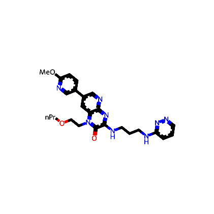 CCCOCCn1c(=O)c(NCCCNc2cccnn2)nc2ncc(-c3ccc(OC)nc3)cc21